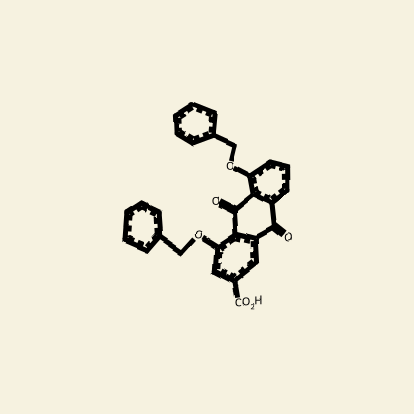 O=C(O)c1cc(OCc2ccccc2)c2c(c1)C(=O)c1cccc(OCc3ccccc3)c1C2=O